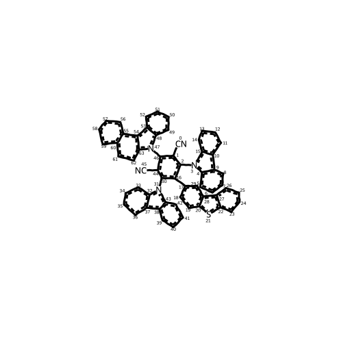 N#Cc1c(-n2c3ccccc3c3ccccc32)c(-c2ccc3sc4ccccc4c3c2)c(-n2c3ccccc3c3ccccc32)c(C#N)c1-n1c2ccccc2c2c3ccccc3ccc21